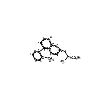 CCOC(=O)C(C)Cc1ccc2c(-c3ccccc3C)ccnc2c1